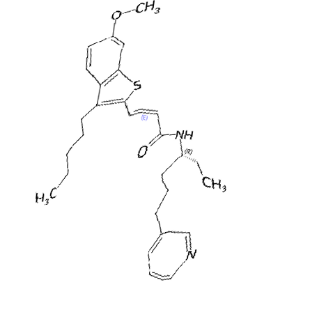 CCCCCc1c(/C=C/C(=O)N[C@H](CC)CCCc2cccnc2)sc2cc(OC)ccc12